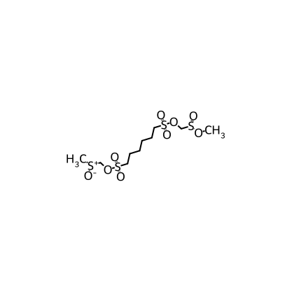 COS(=O)COS(=O)(=O)CCCCCCS(=O)(=O)OC[S+](C)[O-]